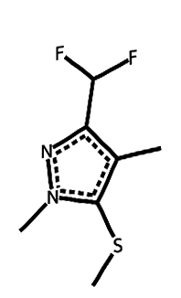 CSc1c(C)c(C(F)F)nn1C